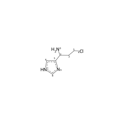 NC(CCCl)c1c[nH]cn1